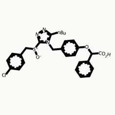 CCCCc1nnc([S+]([O-])Cc2ccc(Cl)cc2)n1Cc1ccc(OC(C(=O)O)c2ccccc2)cc1